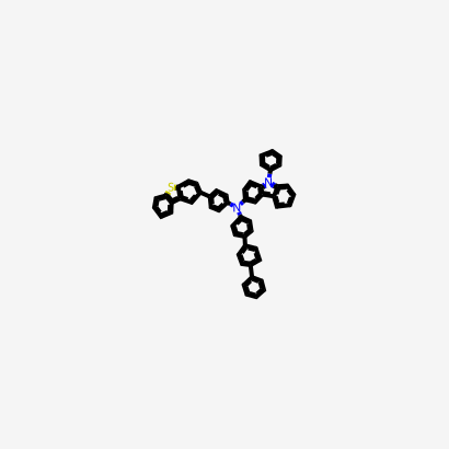 c1ccc(-c2ccc(-c3ccc(N(c4ccc(-c5ccc6sc7ccccc7c6c5)cc4)c4ccc5c(c4)c4ccccc4n5-c4ccccc4)cc3)cc2)cc1